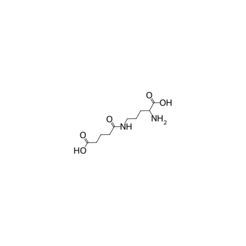 NC(CCCNC(=O)CCCC(=O)O)C(=O)O